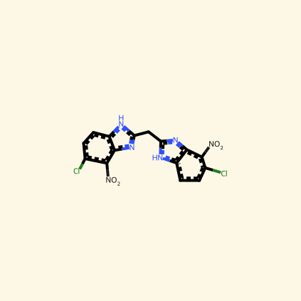 O=[N+]([O-])c1c(Cl)ccc2[nH]c(Cc3nc4c([N+](=O)[O-])c(Cl)ccc4[nH]3)nc12